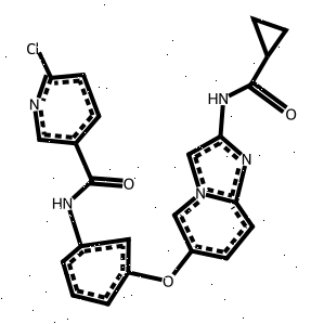 O=C(Nc1cccc(Oc2ccc3nc(NC(=O)C4CC4)cn3c2)c1)c1ccc(Cl)nc1